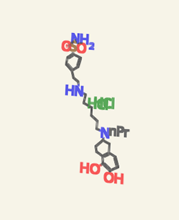 CCCN(CCCCCCNCCc1ccc(S(N)(=O)=O)cc1)C1CCc2c(ccc(O)c2O)C1.Cl.Cl